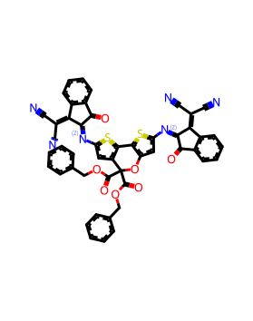 N#CC(C#N)=C1/C(=N/c2cc3c(s2)-c2sc(/N=C4\C(=O)c5ccccc5C4=C(C#N)C#N)cc2C(C(=O)OCc2ccccc2)(C(=O)OCc2ccccc2)O3)C(=O)c2ccccc21